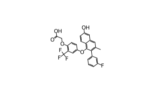 Cc1cc2cc(O)ccc2c(Oc2ccc(OCC(=O)O)c(C(F)(F)F)c2)c1-c1cccc(F)c1